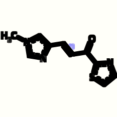 Cn1cnc(/C=C/C(=O)c2nccs2)c1